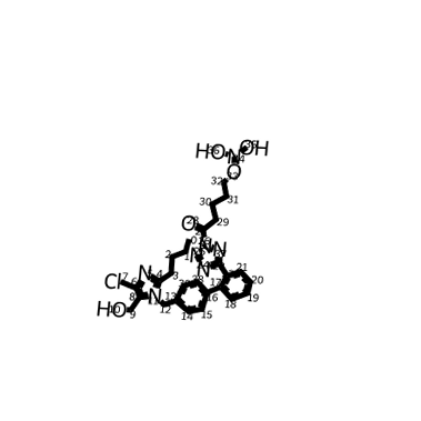 CCCCc1nc(Cl)c(CO)n1Cc1ccc(-c2ccccc2-c2nnn(C(=O)CCCCON(O)O)n2)cc1